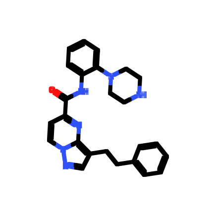 O=C(Nc1ccccc1N1CCNCC1)c1ccn2ncc(CCc3ccccc3)c2n1